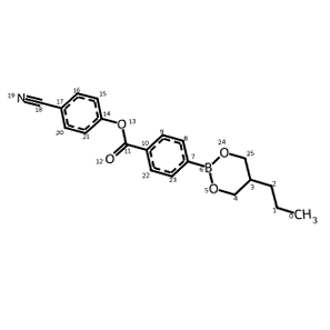 CCCC1COB(c2ccc(C(=O)Oc3ccc(C#N)cc3)cc2)OC1